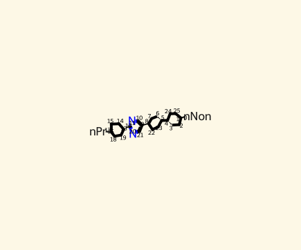 CCCCCCCCC[C@H]1CC[C@H]([C@H]2CC[C@H](c3cnc([C@H]4CC[C@H](CCC)CC4)nc3)CC2)CC1